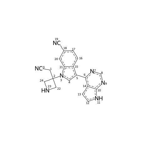 N#CCC1(n2cc(-c3ncnc4[nH]ccc34)c3ccc(C#N)cc32)CNC1